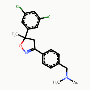 CC(=O)N(C)Cc1ccc(C2=NOC(c3cc(Cl)cc(Cl)c3)(C(F)(F)F)C2)cc1